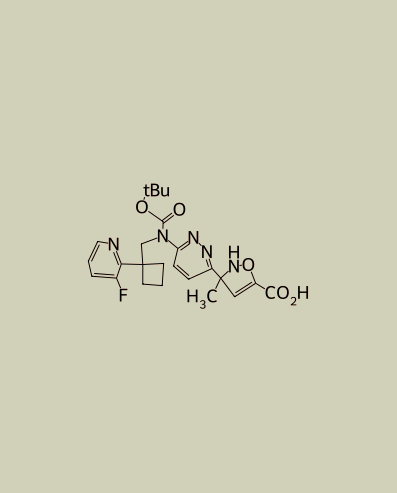 CC(C)(C)OC(=O)N(CC1(c2ncccc2F)CCC1)c1ccc(C2(C)C=C(C(=O)O)ON2)nn1